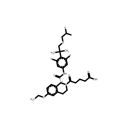 CCOc1ccc2c(c1)CCN(C(=O)CCCC(=O)O)[C@H]2C(=O)Nc1cc(F)c(C(C)(C)COCC(F)F)c(F)c1